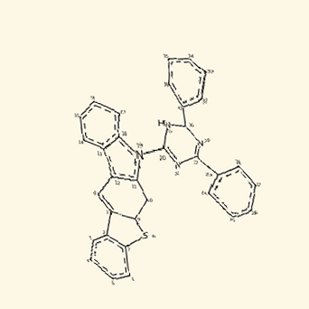 C1=C2c3ccccc3SC2Cc2c1c1ccccc1n2C1=NC(c2ccccc2)=NC(c2ccccc2)N1